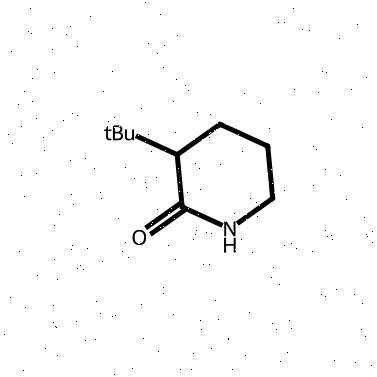 CC(C)(C)C1CCCNC1=O